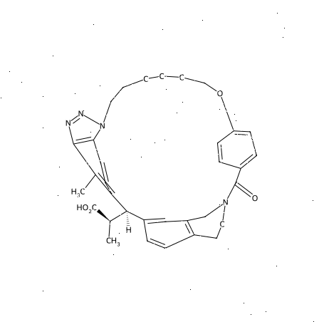 Cc1c2ccc3c1nnn3CCCCCCOc1ccc(cc1)C(=O)N1CCc3ccc(cc3C1)[C@H]2[C@@H](C)C(=O)O